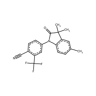 Cc1ccc2c(c1)C(C)(C)C(=O)N2c1ccc(C#N)c(C(F)(F)F)c1